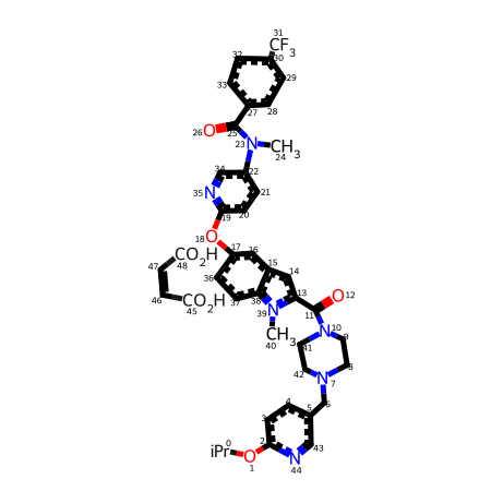 CC(C)Oc1ccc(CN2CCN(C(=O)c3cc4cc(Oc5ccc(N(C)C(=O)c6ccc(C(F)(F)F)cc6)cn5)ccc4n3C)CC2)cn1.O=C(O)/C=C\C(=O)O